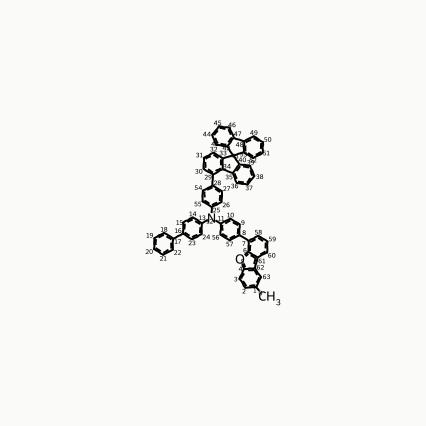 Cc1ccc2oc3c(-c4ccc(N(c5ccc(-c6ccccc6)cc5)c5ccc(-c6cccc7c6-c6ccccc6C76c7ccccc7-c7ccccc76)cc5)cc4)cccc3c2c1